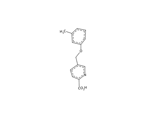 Cc1cccc(OCc2ccc(C(=O)O)nc2)c1